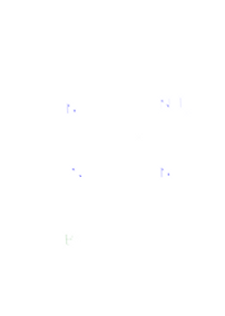 NC1=NC=C(Br)N2CCN=C12